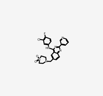 O=S1(=O)CCN(Cc2ccc3nc(-c4cccnc4)nc(Nc4ccc(F)c(Cl)c4)c3c2)CC1